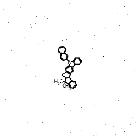 CC1(C)c2ccccc2C2c3cc4c5ccccc5n(-c5ccc6ccccc6c5)c4cc3OC21